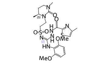 COc1cccc(OC)c1N/C(=N/S(=O)(=O)CCN1C(=O)N(C)CC[C@@H]1C)NNC(=O)c1nc(C)cs1